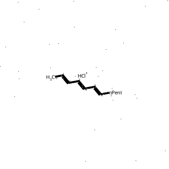 CC=CC=CC=CCCCCC.Cl